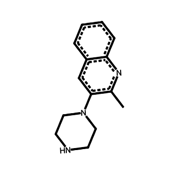 Cc1nc2ccccc2cc1N1CCNCC1